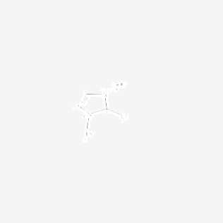 CCCCN1C=NN(C(C)C)C1CC